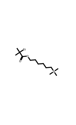 CCC(C)(C)C(=O)OCCCCCC[Si](C)(C)C